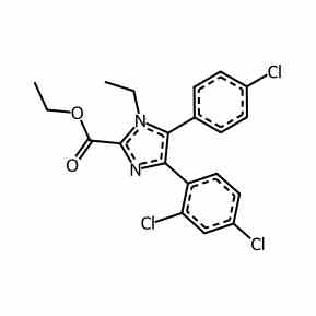 CCOC(=O)c1nc(-c2ccc(Cl)cc2Cl)c(-c2ccc(Cl)cc2)n1CC